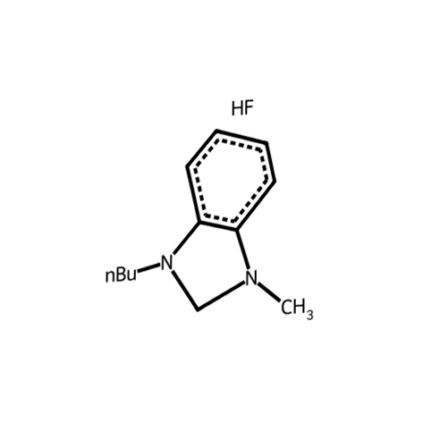 CCCCN1CN(C)c2ccccc21.F